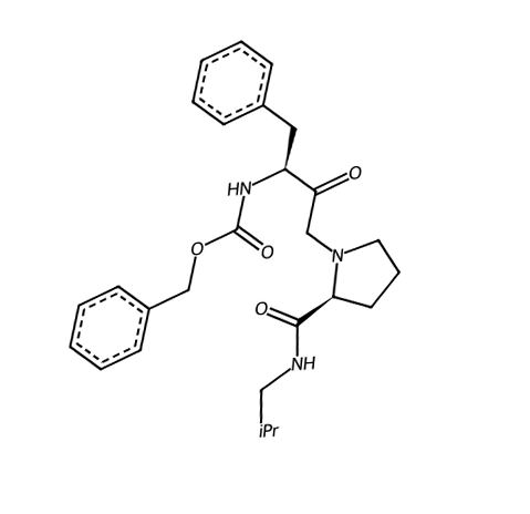 CC(C)CNC(=O)[C@@H]1CCCN1CC(=O)[C@H](Cc1ccccc1)NC(=O)OCc1ccccc1